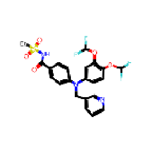 CCS(=O)(=O)NC(=O)c1ccc(N(Cc2cccnc2)c2ccc(OC(F)F)c(OC(F)F)c2)cc1